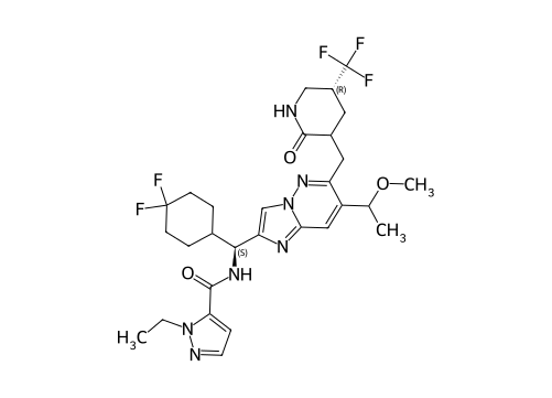 CCn1nccc1C(=O)N[C@H](c1cn2nc(CC3C[C@@H](C(F)(F)F)CNC3=O)c(C(C)OC)cc2n1)C1CCC(F)(F)CC1